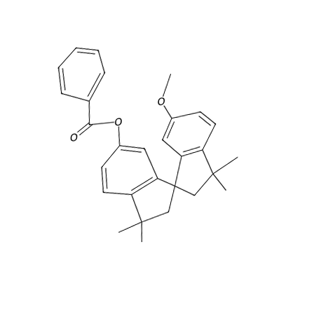 COc1ccc2c(c1)C1(CC2(C)C)CC(C)(C)c2ccc(OC(=O)c3ccccc3)cc21